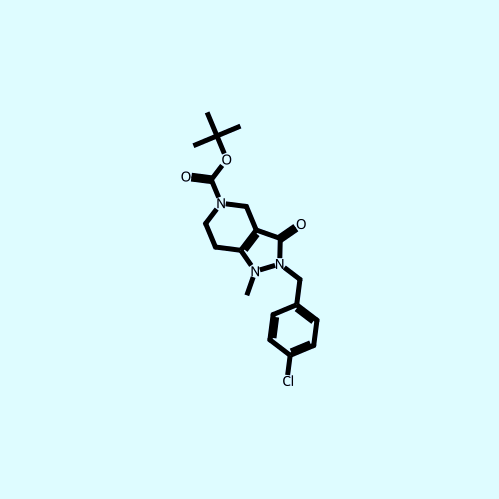 Cn1c2c(c(=O)n1Cc1ccc(Cl)cc1)CN(C(=O)OC(C)(C)C)CC2